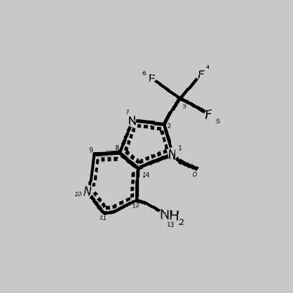 Cn1c(C(F)(F)F)nc2cncc(N)c21